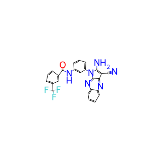 N#Cc1c(N)n(-c2cccc(NC(=O)c3cccc(C(F)(F)F)c3)c2)c2nc3ccccc3nc12